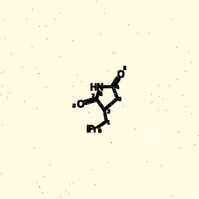 CC(C)CC1CC(=O)NC1=O